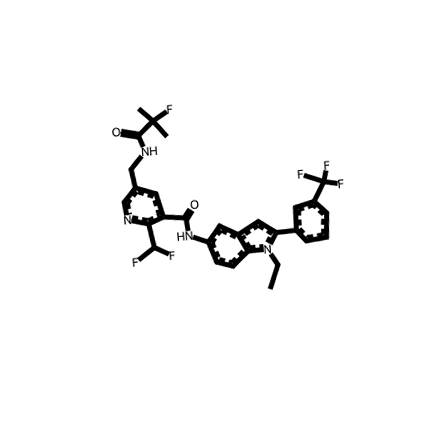 CCn1c(-c2cccc(C(F)(F)F)c2)cc2cc(NC(=O)c3cc(CNC(=O)C(C)(C)F)cnc3C(F)F)ccc21